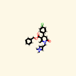 CC1=C(C(=O)OCc2ccccc2)C(c2ccc(Cl)cc2)CC(=O)N1CC1C[N+](C)(C)C1